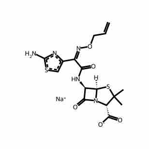 C=CCO/N=C(\C(=O)N[C@@H]1C(=O)N2[C@@H]1SC(C)(C)[C@@H]2C(=O)[O-])c1csc(N)n1.[Na+]